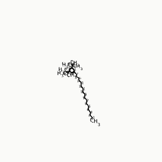 CCCCCCCCCCCCCCCCCCc1cc(C(C)(C)C)[c]c(C(C)(C)C)c1